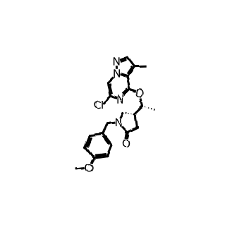 COc1ccc(CN2C[C@H]([C@@H](C)Oc3nc(Cl)cn4ncc(C)c34)CC2=O)cc1